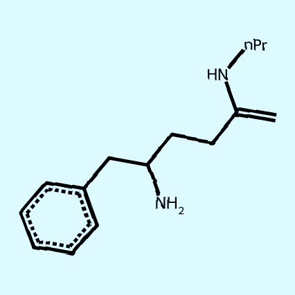 C=C(CCC(N)Cc1ccccc1)NCCC